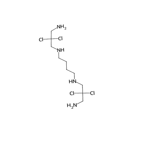 NCC(Cl)(Cl)CNCCCCNCC(Cl)(Cl)CN